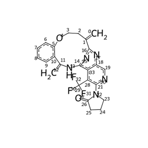 C=C1CCOc2ccccc2C(=C)Nc2nc1nc1cnc(N3CCCC3=O)c(C(F)(F)F)c21